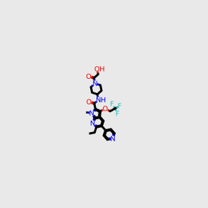 CCc1nc2c(cc1-c1ccncc1)c(OCC(F)(F)F)c(C(=O)NC1CCN(C(=O)CO)CC1)n2C